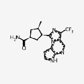 C[C@@H]1C[C@H](C(N)=O)C[C@@H]1c1nc(C(F)(F)F)c2cnc3[nH]ccc3n12